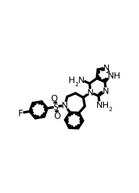 NC1=Nc2[nH]ncc2C(N)N1C1CCN(S(=O)(=O)c2ccc(F)cc2)c2ccccc2C1